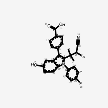 CC(C)(c1c(-c2ccc(C(=O)O)cc2)c2cc(O)ccc2n1-c1ccc(F)cc1)C(I)C#N